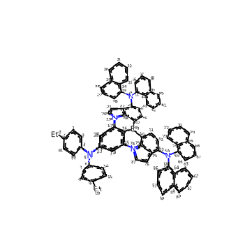 CCc1ccc(N(c2ccc(CC)cc2)c2cc3c4c(c2)-n2ccc5c(N(c6cccc7ccccc67)c6cccc7ccccc67)ccc(c52)B4c2ccc(N(c4cccc5ccccc45)c4cccc5ccccc45)c4ccn-3c24)cc1